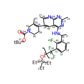 CC[Si](CC)(CC)OC(C)(C)C(F)(F)c1cccc(C(C)Nc2nc(C)nc3nc(C)c(C4=C(C)CN(C(=O)OC(C)(C)C)CC4)cc23)c1F